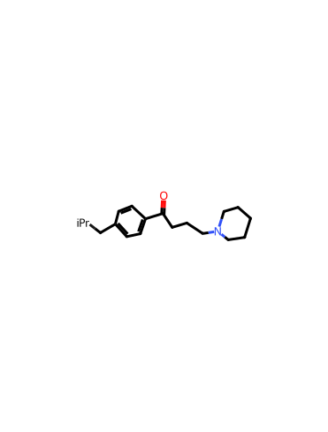 CC(C)Cc1ccc(C(=O)CCCN2CCCCC2)cc1